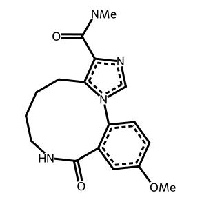 CNC(=O)c1ncn2c1CCCCNC(=O)c1cc(OC)ccc1-2